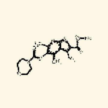 Cc1nc2sc(C(=O)OC(C)(C)C)c(N)c2c(C)c1OC(=O)N1CCOCC1